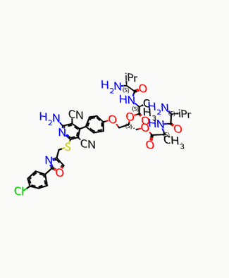 CC(C)[C@H](N)C(=O)N[C@@H](C)C(=O)OC[C@H](COc1ccc(-c2c(C#N)c(N)nc(SCc3coc(-c4ccc(Cl)cc4)n3)c2C#N)cc1)OC(=O)[C@H](C)NC(=O)[C@@H](N)C(C)C